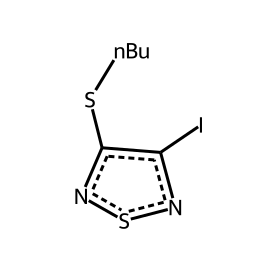 CCCCSc1nsnc1I